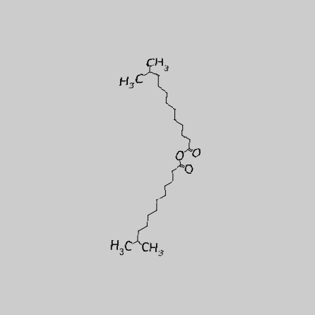 CC(C)CCCCCCCCCC(=O)OC(=O)CCCCCCCCCC(C)C